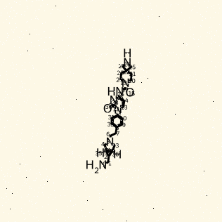 NCC1[C@H]2CN(CCc3ccc(-n4ccc(NC(=O)N5CCC6(CC5)CNC6)nc4=O)cc3)C[C@@H]12